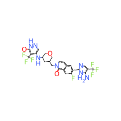 Nc1nc(-c2cc3ccn(C[C@@H]4COC[C@H](Nc5cn[nH]c(=O)c5C(F)(F)F)C4)c(=O)c3cc2F)ncc1C(F)(F)F